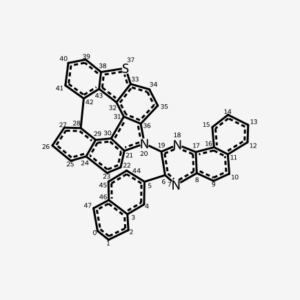 c1ccc2cc(-c3nc4ccc5ccccc5c4nc3-n3c4ccc5cccc6c5c4c4c5c(ccc43)sc3cccc-6c35)ccc2c1